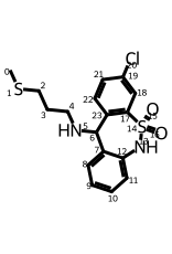 CSCCCNC1c2ccccc2NS(=O)(=O)c2cc(Cl)ccc21